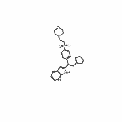 O=S(=O)(CCN1CCOCC1)c1ccc(C(CC2CCCC2)c2cc3cccnc3[nH]2)cc1